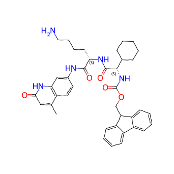 Cc1cc(=O)[nH]c2cc(NC(=O)[C@H](CCCCN)NC(=O)[C@@H](NC(=O)OCC3c4ccccc4-c4ccccc43)C3CCCCC3)ccc12